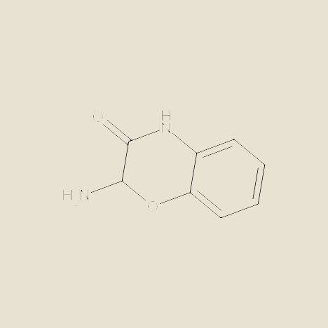 NC1Oc2ccccc2NC1=O